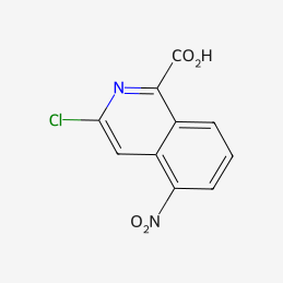 O=C(O)c1nc(Cl)cc2c([N+](=O)[O-])cccc12